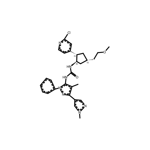 COCC[C@@H]1C[C@@H](NC(=O)Nc2c(C)c(-c3cnn(C)c3)nn2-c2ccccc2)[C@H](c2ccnc(Cl)c2)C1